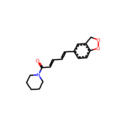 O=C(/C=C/C=C/c1ccc2c(c1)COO2)N1CCCCC1